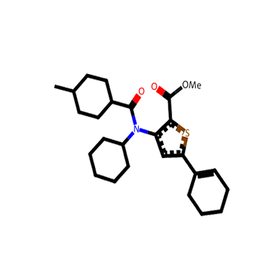 COC(=O)c1sc(C2=CCCCC2)cc1N(C(=O)C1CCC(C)CC1)C1CCCCC1